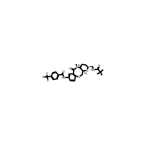 CN1C(=O)c2cc(NC(=O)c3ccc(C(F)(F)F)cc3)ccc2OC[C@@H]2O[C@H](CNC(=O)C(C)(C)C)CC[C@@H]21